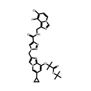 CC(C)(C)OC(=O)C(C)(C)Oc1cc(C2CC2)cn2cc(Cn3cc(C(=O)NCc4ncn5ccc(Cl)c(F)c45)nn3)nc12